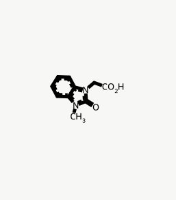 Cn1c(=O)n(CC(=O)O)c2ccccc21